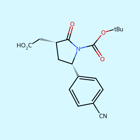 CC(C)(C)OC(=O)N1C(=O)[C@@H](CC(=O)O)C[C@H]1c1ccc(C#N)cc1